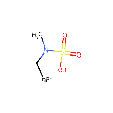 CCCCN(C)S(=O)(=O)O